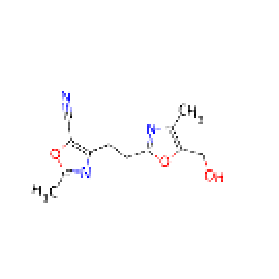 Cc1nc(CCc2nc(C)c(CO)o2)c(C#N)o1